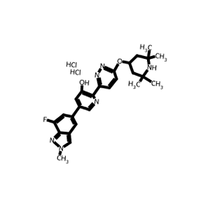 Cl.Cl.Cn1cc2cc(-c3cnc(-c4ccc(OC5CC(C)(C)NC(C)(C)C5)nn4)c(O)c3)cc(F)c2n1